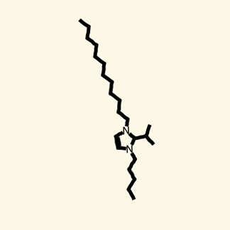 CCCCCCCCCCCCN1C=CN(CCCCC)C1C(C)C